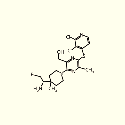 Cc1nc(N2CCC(C)([C@@H](N)CF)CC2)c(CO)nc1Sc1ccnc(Cl)c1Cl